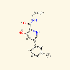 CCOC(=O)CNC(=O)c1ncc(-c2cccc(C(F)(F)F)c2)cc1O